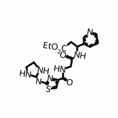 CCOC(=O)CC(NC(=O)CNC(=O)c1csc(N=C2NCCN2)n1)c1cccnc1